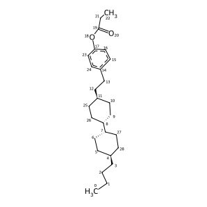 CCCC[C@H]1CC[C@H]([C@H]2CC[C@H](CCc3ccc(OC(=O)CC)cc3)CC2)CC1